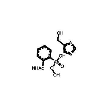 CC(=O)Nc1ccccc1[As](=O)(O)OO.OCc1cscn1